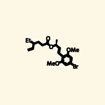 C=CC(CC)CCC(=O)O[C@@H](C)/C=C/c1c(OC)cc(Br)cc1OC